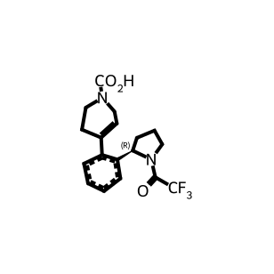 O=C(O)N1CC=C(c2ccccc2[C@H]2CCCN2C(=O)C(F)(F)F)CC1